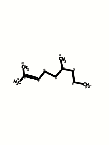 [CH2]CCC(C)CCC=C(C)C